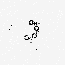 c1ccc(Nc2ccc(Oc3ccc(Nc4ccccc4)cc3)cc2)cc1